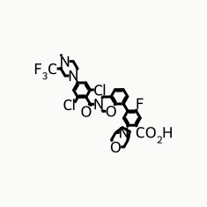 CN1CCN(c2cc(Cl)c(C(=O)N3COc4c(cccc4-c4cc(N5C6CCC5COC6)c(C(=O)O)cc4F)C3)c(Cl)c2)CC1C(F)(F)F